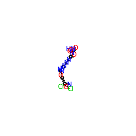 Cc1cc(N2CC(N3CC(N4CCN(c5nccc(COc6ccc(C(C)(C)c7cc(Cl)c(OCCCl)c(C#N)c7)cc6)n5)CC4)C3)C2)ccc1C(=O)N(C=O)C1CCC(=O)NC1=O